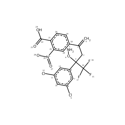 C=C(CC(ON)(c1cc(Cl)cc(Cl)c1)C(F)(F)F)c1ccc(C(=O)O)c([N+](=O)[O-])c1